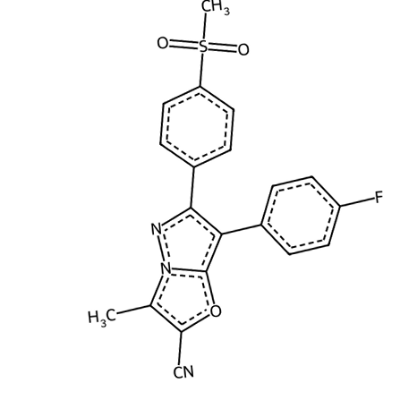 Cc1c(C#N)oc2c(-c3ccc(F)cc3)c(-c3ccc(S(C)(=O)=O)cc3)nn12